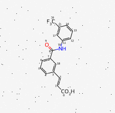 O=C(O)/C=C/c1cccc(C(=O)Nc2cccc(C(F)(F)F)c2)c1